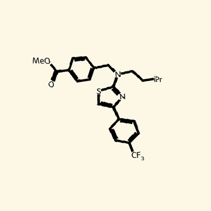 COC(=O)c1ccc(CN(CCC(C)C)c2nc(-c3ccc(C(F)(F)F)cc3)cs2)cc1